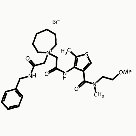 COCCN(C)C(=O)c1csc(C)c1NC(=O)C[N+]1(CC(=O)NCc2ccccc2)CCCCCC1.[Br-]